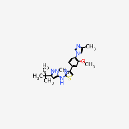 COc1cc(-c2csc(Nc3cc(C(C)(C)C)nn3C)n2)ccc1-n1cnc(C)c1